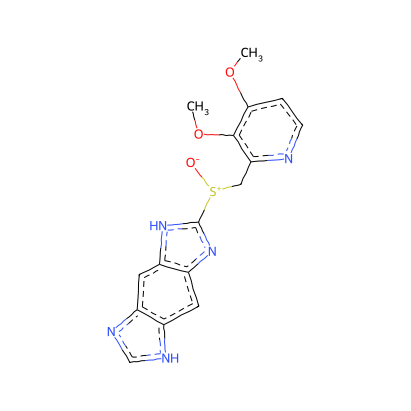 COc1ccnc(C[S+]([O-])c2nc3cc4[nH]cnc4cc3[nH]2)c1OC